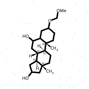 COCOC1CC[C@@]2(C)C(C1)C(O)C[C@H]1[C@@H]3CC(O)C[C@@]3(C)CC[C@@H]12